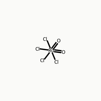 [O]=[Ru](=[O])([Cl])([Cl])([Cl])[Cl]